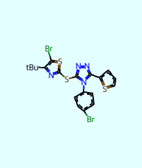 CC(C)(C)c1nc(Sc2nnc(-c3cccs3)n2-c2ccc(Br)cc2)sc1Br